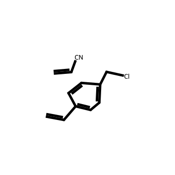 C=CC#N.C=Cc1ccc(CCl)cc1